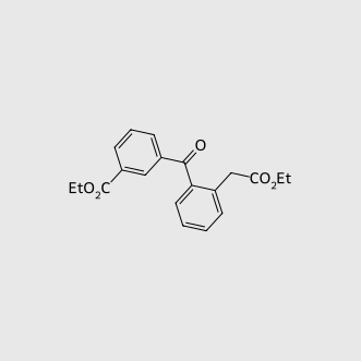 CCOC(=O)Cc1ccccc1C(=O)c1cccc(C(=O)OCC)c1